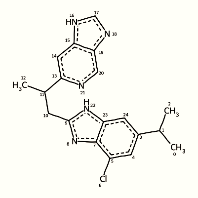 CC(C)c1cc(Cl)c2nc(CC(C)c3cc4[nH]cnc4cn3)[nH]c2c1